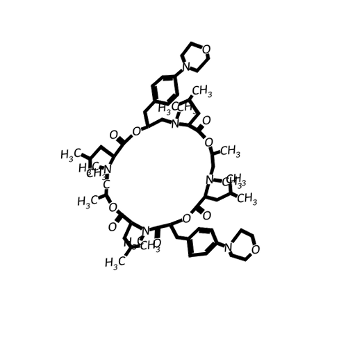 CC(C)CC1C(=O)OC(C)CN(C)C(CC(C)C)C(=O)OC(Cc2ccc(N3CCOCC3)cc2)C(=O)N(C)C(CC(C)C)C(=O)OC(C)CN(C)C(CC(C)C)C(=O)OC(Cc2ccc(N3CCOCC3)cc2)CN1C